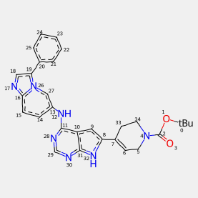 CC(C)(C)OC(=O)N1CC=C(c2cc3c(Nc4ccc5ncc(-c6ccccc6)n5c4)ncnc3[nH]2)CC1